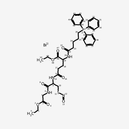 CCOC(=O)CNC(=O)C(CSN=O)NC(=O)CCC(NC(=O)CCCC[P+](c1ccccc1)(c1ccccc1)c1ccccc1)C(=O)OCC.[Br-]